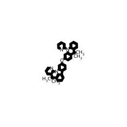 CC1(C)c2ccccc2N(c2ccccn2)c2cc(Oc3ccc4c5cccc6c5n(c4c3)-c3ncccc3C6(C)C)ccc21